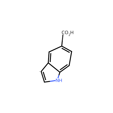 O=C(O)c1ccc2[nH]c[c]c2c1